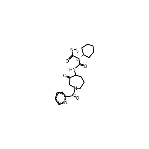 NC(=O)[C@@H](C(=O)NC1CCCN([S+]([O-])c2ccccn2)CC1=O)C1CCCCC1